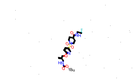 C=C(CNC(=O)OC(C)(C)C)COc1ccc(S(=O)(=O)N2CCC(C(=O)NCCF)CC2)cn1